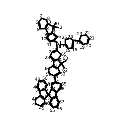 CC1(C)C2=C(C=CCC2)c2ccc(N(C3=CC=C(C4=CC=CCC4)CC3)C3=CC=C4C5=C(C=C(c6ccc7c(c6)C6(C8=C(CCC=C8)c8ccccc86)c6ccccc6-7)CC5)C(C)(C)C4C3)cc21